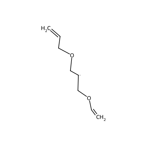 C=CCOC[CH]COC=C